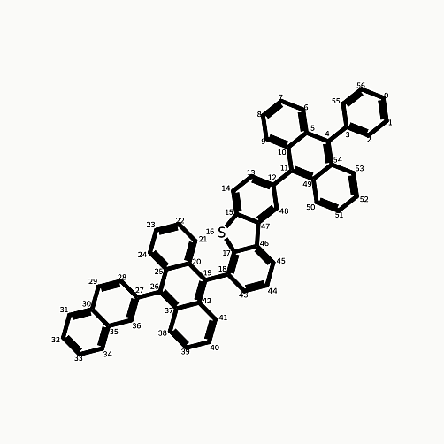 c1ccc(-c2c3ccccc3c(-c3ccc4sc5c(-c6c7ccccc7c(-c7ccc8ccccc8c7)c7ccccc67)cccc5c4c3)c3ccccc23)cc1